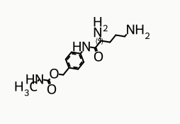 CNC(=O)OCc1ccc(NC(=O)[C@@H](N)CCCN)cc1